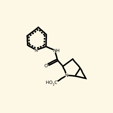 O=C(Nc1ccccn1)C1CC2CC2N1C(=O)O